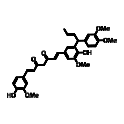 C/C=C/C(c1ccc(OC)c(OC)c1)c1cc(/C=C/C(=O)CC(=O)/C=C/c2ccc(O)c(OC)c2)cc(OC)c1O